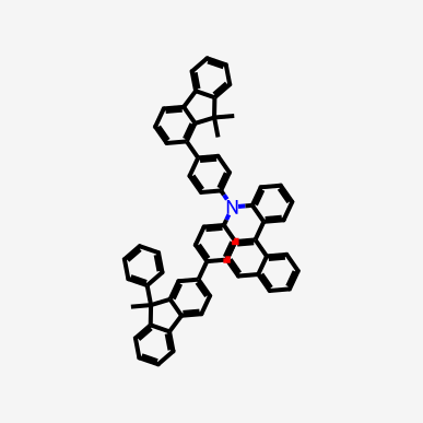 CC1(C)c2ccccc2-c2cccc(-c3ccc(N(c4ccc(-c5ccc6c(c5)C(C)(c5ccccc5)c5ccccc5-6)cc4)c4ccccc4-c4cccc5ccccc45)cc3)c21